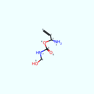 C=CC(N)OC(=O)NCO